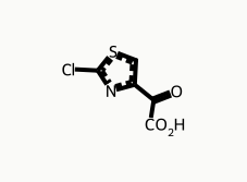 O=C(O)C(=O)c1csc(Cl)n1